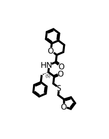 O=C(N[C@@H](Cc1ccccc1)C(=O)CSCc1ccco1)C1CCc2ccccc2O1